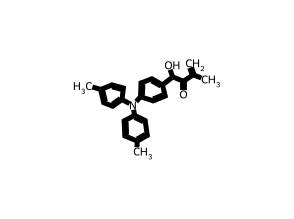 C=C(C)C(=O)C(O)c1ccc(N(c2ccc(C)cc2)c2ccc(C)cc2)cc1